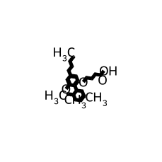 CCCCCc1cc(OCCCC(=O)O)c2c(c1)OC(C)(C)C1CC=C(C)CC21